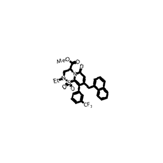 CCN1CC(C(=O)OC)n2c(c(-c3cccc(C(F)(F)F)c3)c(Cc3cccc4ccccc34)cc2=O)S1(=O)=O